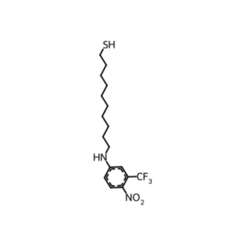 O=[N+]([O-])c1ccc(NCCCCCCCCCCS)cc1C(F)(F)F